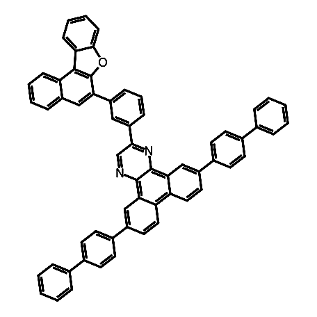 c1ccc(-c2ccc(-c3ccc4c5ccc(-c6ccc(-c7ccccc7)cc6)cc5c5nc(-c6cccc(-c7cc8ccccc8c8c7oc7ccccc78)c6)cnc5c4c3)cc2)cc1